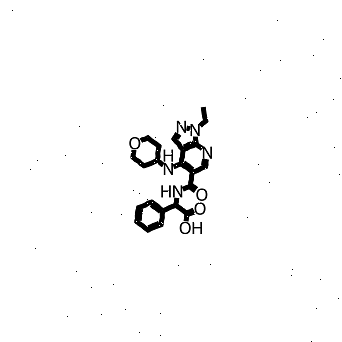 CCn1ncc2c(NC3CCOCC3)c(C(=O)NC(C(=O)O)c3ccccc3)cnc21